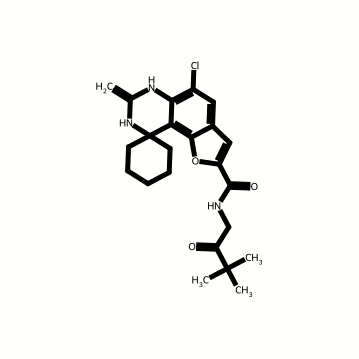 C=C1Nc2c(Cl)cc3cc(C(=O)NCC(=O)C(C)(C)C)oc3c2C2(CCCCC2)N1